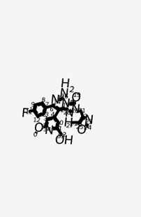 COc1cc(-c2c(-c3ccc(F)cc3)nc(N)[n+]3c(=O)n(Cc4ncoc4C)[nH]c23)cc(CO)n1